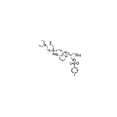 C=CC[C@H](/C=C\CN(CC)CC)[C@@H]1C=C[C@H]2C(C=CC[C@H]2OC(CO)COS(=O)(=O)c2ccc(C)cc2)N1